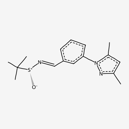 Cc1cc(C)n(-c2cccc(/C=N/[S@+]([O-])C(C)(C)C)c2)n1